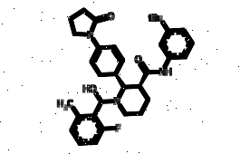 Cc1cccc(F)c1C(O)N1CCC[C@H](C(=O)Nc2cccc(C(C)(C)C)c2)C1[C@@H]1C=CC(N2CCCC2=O)=CC1